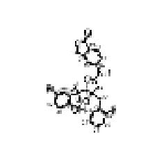 CC(C)(CC(O)(CC(=O)Nc1ccc2c(c1)COC2=O)Cc1ccccc1F)c1cc(F)ccc1O